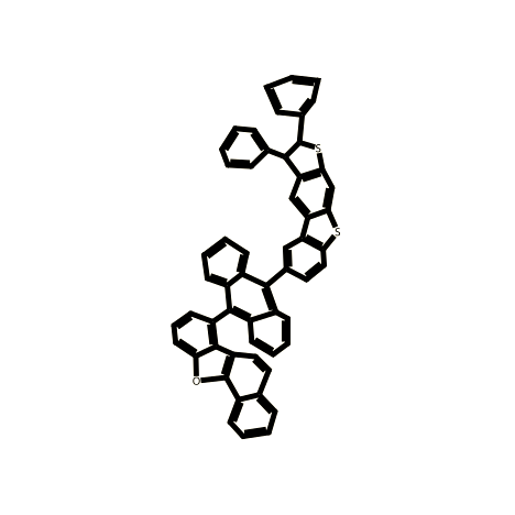 c1ccc(C2Sc3cc4sc5ccc(-c6c7ccccc7c(-c7cccc8oc9c%10ccccc%10ccc9c78)c7ccccc67)cc5c4cc3C2c2ccccc2)cc1